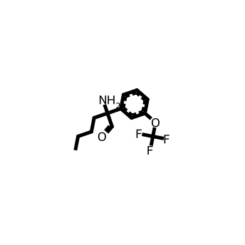 CCCCC(N)(C=O)c1cccc(OC(F)(F)F)c1